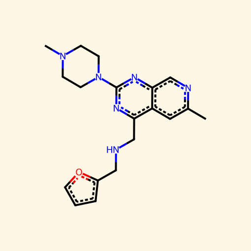 Cc1cc2c(CNCc3ccco3)nc(N3CCN(C)CC3)nc2cn1